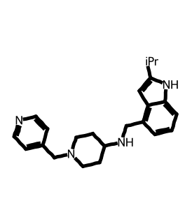 CC(C)c1cc2c(CNC3CCN(Cc4ccncc4)CC3)cccc2[nH]1